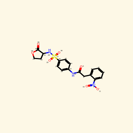 O=C(Cc1ccccc1[N+](=O)[O-])Nc1ccc(S(=O)(=O)NC2CCOC2=O)cc1